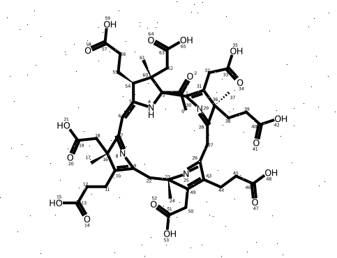 CC(=O)C12N/C(=C\C3=NC(=C(CCC(=O)O)[C@]3(C)CC(=O)O)C[C@]3(C)N=C(CC4=NC1=C(CC(=O)O)[C@@]4(C)CCC(=O)O)C(CCC(=O)O)=C3CC(=O)O)[C@@H](CCC(=O)O)[C@]2(C)CC(=O)O